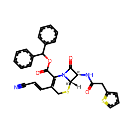 N#CC=CC1=C(C(=O)OC(c2ccccc2)c2ccccc2)N2C(=O)[C@@H](NC(=O)Cc3cccs3)[C@@H]2SC1